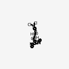 CN1/C(=C/C(=C/c2cc[n+](C)c3ccccc23)c2ccc(C(=O)NCCNC(=O)COc3ccc(N(CCCl)CCCl)cc3)cc2)Sc2ccccc21